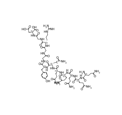 N=C(N)NCCC[C@H](NC(=O)CNC(=O)CNC(=O)[C@H](Cc1ccc(O)cc1)NC(=O)[C@H](CCC(N)=O)NC(=O)[C@H](CCC(N)=O)NC(=O)[C@H](CCC(N)=O)NC(=O)[C@H](CCC(N)=O)NC(=O)[C@H](CCC(N)=O)NC(=O)[C@@H](N)CCC(N)=O)C(=O)NCC(=O)N[C@@H](CC(=O)O)C(=O)O